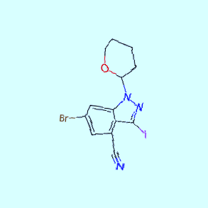 N#Cc1cc(Br)cc2c1c(I)nn2C1CCCCO1